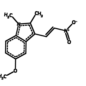 COc1ccc2c(c1)c(/C=C/[N+](=O)[O-])c(C)n2C